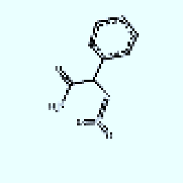 NC(=O)C(N=S(=O)=O)c1ccccc1